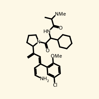 C=C(/C=C(\C=C/N)c1cc(Cl)ccc1OC)C1CCCN1C(=O)C(NC(=O)C(C)NC)C1CCCCC1